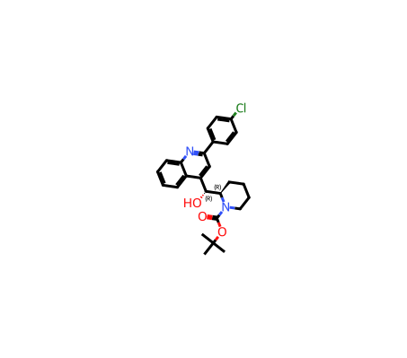 CC(C)(C)OC(=O)N1CCCC[C@@H]1[C@H](O)c1cc(-c2ccc(Cl)cc2)nc2ccccc12